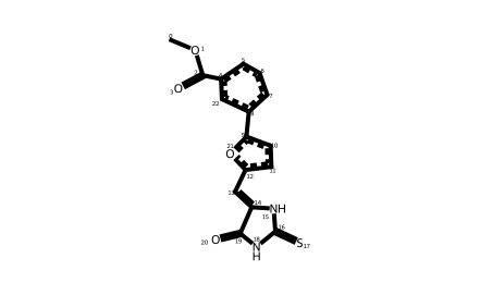 COC(=O)c1cccc(-c2ccc(/C=C3\NC(=S)NC3=O)o2)c1